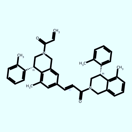 C=CC(=O)N1Cc2cc(/C=C/C(=O)N3Cc4cccc(C)c4[C@@H](c4ccccc4C)C3)cc(C)c2[C@H](c2ccccc2C)C1